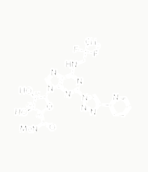 CNC(=O)[C@H]1OC(n2cnc3c(NCC(C)(F)F)nc(-n4cc(-c5ccccn5)nn4)nc32)[C@H](O)[C@@H]1O